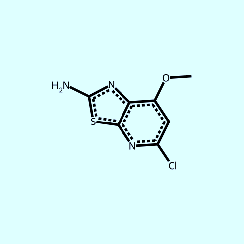 COc1cc(Cl)nc2sc(N)nc12